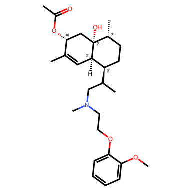 COc1ccccc1OCCN(C)CC(C)[C@@H]1CC[C@@H](C)[C@]2(O)[CH][C@@H](OC(C)=O)C(C)=C[C@H]12